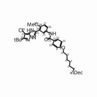 CCCCCCCCCCCCCCCCOc1ccc(C(=O)Nc2ccc(OC)c(-c3nn4nc(C(C)(C)C)c(Cl)c4[nH]3)c2)cc1